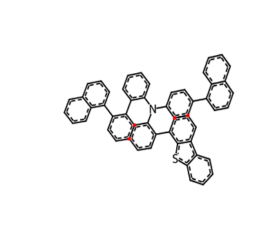 c1ccc(-c2cccc3ccccc23)c(-c2ccccc2N(c2ccc(-c3cccc4ccccc34)cc2)c2ccccc2-c2cccc3c2sc2ccccc23)c1